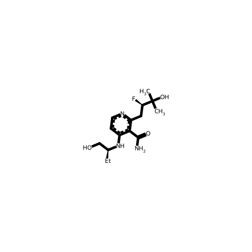 CC[C@@H](CO)Nc1ccnc(C[C@@H](F)C(C)(C)O)c1C(N)=O